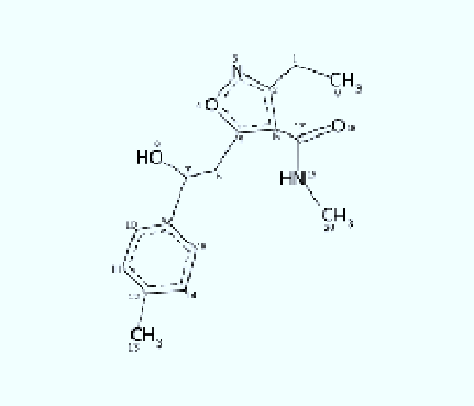 CCc1noc(CC(O)c2ccc(C)cc2)c1C(=O)NC